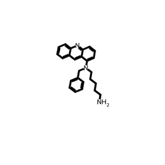 NCCCCCN(Cc1ccccc1)c1cccc2nc3ccccc3cc12